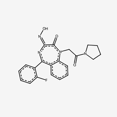 O=C(Cn1c(=O)c(=NO)nc(-c2ccccc2F)c2ccccc21)N1CCCC1